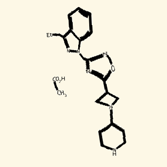 CC(=O)O.CCc1nn(-c2noc(C3CN(C4CCNCC4)C3)n2)c2ccccc12